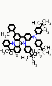 Cc1ccccc1-c1cc2c3c(c1)N1c4ccccc4C(C)(C)c4cccc(c41)B3N(c1ccc(C(C)(C)C)cc1)c1cc(N(c3ccc(C(C)(C)C)cc3)c3ccc(C(C)(C)C)cc3)ccc1-2